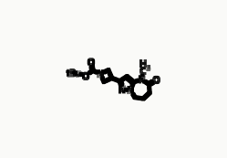 CN1C(=O)CCCn2nc(C3CN(C(=O)OC(C)(C)C)C3)cc21